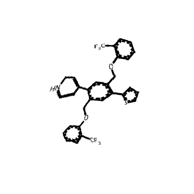 FC(F)(F)c1ccccc1OCc1cc(-c2cccs2)c(COc2ccccc2C(F)(F)F)cc1C1=CCNCC1